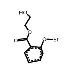 CCOc1ccccc1C(=O)OCCO